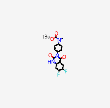 CN(C(=O)OC(C)(C)C)c1ccc(-n2c(=O)[nH]c3cc(F)c(F)cc3c2=O)cc1